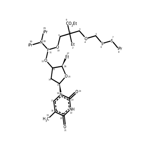 CCOC(=O)C(CC)(COCSSC(C)C)COP(OC1C[C@H](n2cc(C)c(=O)[nH]c2=O)O[C@@H]1CC)N(C(C)C)C(C)C